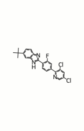 CC(C)(C)c1ccc2nc(-c3ccc(-c4ncc(Cl)cc4Cl)cc3F)[nH]c2c1